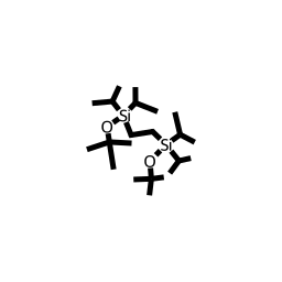 CC(C)[Si](CC[Si](OC(C)(C)C)(C(C)C)C(C)C)(OC(C)(C)C)C(C)C